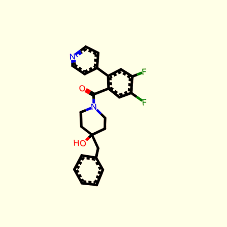 O=C(c1cc(F)c(F)cc1-c1ccncc1)N1CCC(O)(Cc2ccccc2)CC1